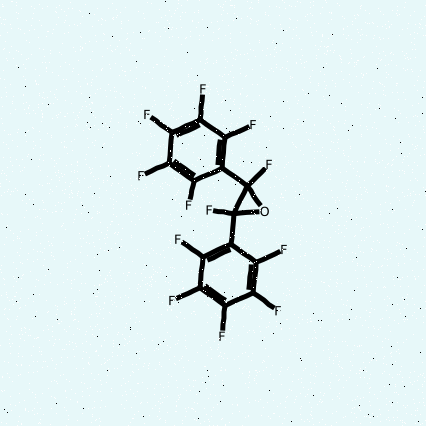 Fc1c(F)c(F)c(C2(F)OC2(F)c2c(F)c(F)c(F)c(F)c2F)c(F)c1F